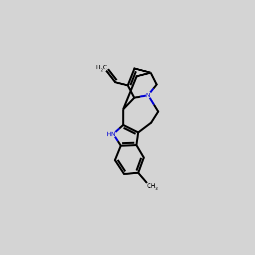 C=CC1=CC2CC3c4[nH]c5ccc(C)cc5c4CCN(C2)C13